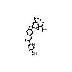 CN(C)C(=O)C12C[C@H]1[C@]1(Cc3ccc(/C=C(\F)c4cnc(C#N)cn4)cc31)N=C(N)S2